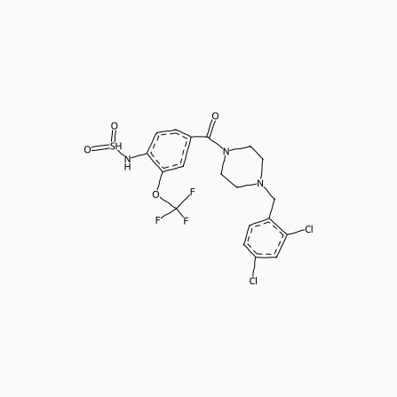 O=C(c1ccc(N[SH](=O)=O)c(OC(F)(F)F)c1)N1CCN(Cc2ccc(Cl)cc2Cl)CC1